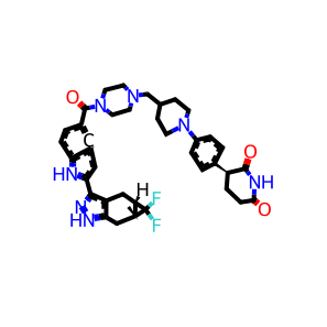 C[C@@]12Cc3[nH]nc(-c4cc5cc(C(=O)N6CCN(CC7CCN(c8ccc([C@@H]9CCC(=O)NC9=O)cc8)CC7)CC6)ccc5[nH]4)c3C[C@@H]1C2(F)F